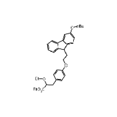 CCCCOc1ccc2c(c1)-c1ccccc1C2CCOc1ccc(CC(OCC)C(=O)OCC)cc1